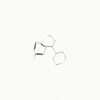 Nc1ccc2c(c1)C(C1CCNCC1)CCO2